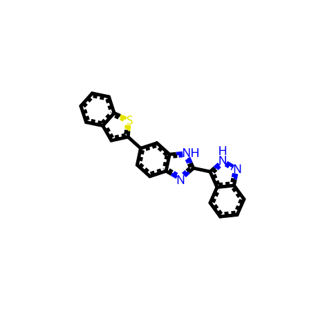 c1ccc2sc(-c3ccc4nc(-c5[nH]nc6ccccc56)[nH]c4c3)cc2c1